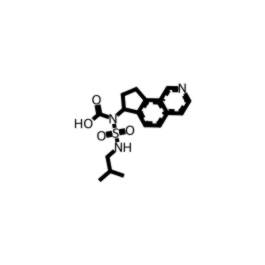 CC(C)CNS(=O)(=O)N(C(=O)O)C1CCc2c1ccc1ccncc21